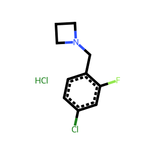 Cl.Fc1cc(Cl)ccc1CN1CCC1